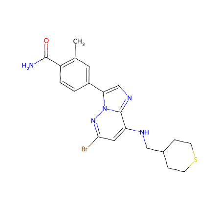 Cc1cc(-c2cnc3c(NCC4CCSCC4)cc(Br)nn23)ccc1C(N)=O